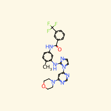 Cc1ccc(NC(=O)c2cccc(C(F)(F)F)c2)cc1Nc1nccn1-c1cc(N2CCOCC2)ncn1